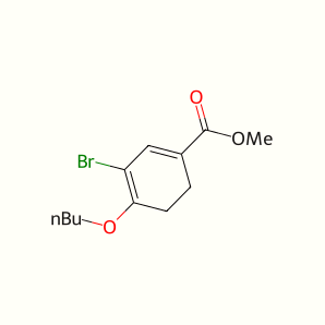 CCCCOC1=C(Br)C=C(C(=O)OC)CC1